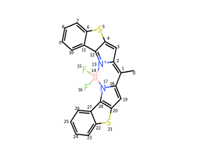 CC1=C2C=c3sc4ccccc4c3=[N+]2[B-](F)(F)n2c1cc1sc3ccccc3c12